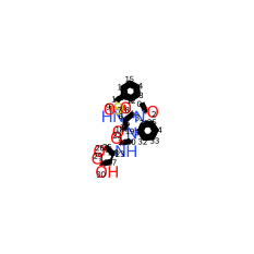 CC(=O)N1C[C@H](NS(=O)(=O)Cc2ccccc2)C(=O)N(CC(=O)N[C@H](C=O)CC(=O)O)c2ccccc21